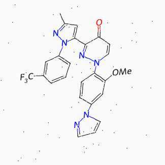 COc1cc(-n2cccn2)ccc1-n1ccc(=O)c(-c2cc(C)nn2-c2cccc(C(F)(F)F)c2)n1